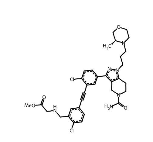 COC(=O)CNCc1cc(C#Cc2cc(-c3nn(CCCN4CCOC[C@@H]4C)c4c3CN(C(N)=O)CC4)ccc2Cl)ccc1Cl